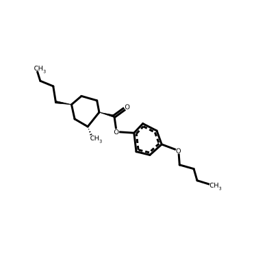 CCCCOc1ccc(OC(=O)[C@@H]2CC[C@H](CCCC)C[C@H]2C)cc1